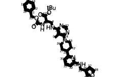 Cc1c(NCC(NC(=O)OCc2ccccc2)C(=O)OC(C)(C)C)ncnc1N1CCC(c2cccc(NCc3ccoc3)n2)CC1